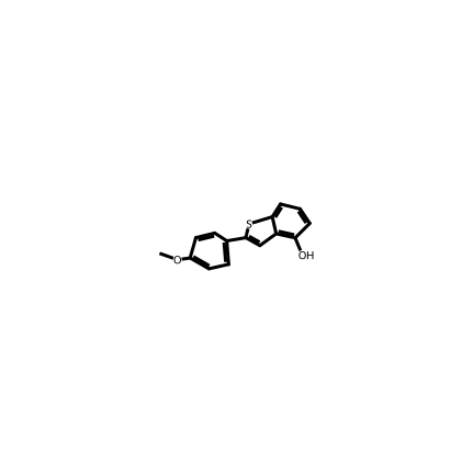 COc1ccc(-c2cc3c(O)cccc3s2)cc1